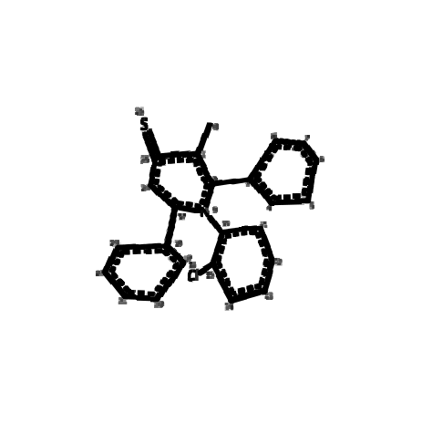 Cc1c(-c2ccccc2)n(-c2ccccc2Cl)c(-c2ccccc2)cc1=S